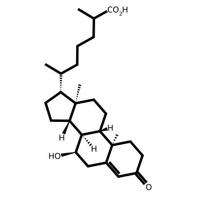 CC(CCCC(C)[C@H]1CC[C@H]2[C@@H]3[C@H](O)CC4=CC(=O)CC[C@]4(C)[C@H]3CC[C@]12C)C(=O)O